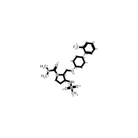 CN(C)C(=O)N1CCC(NS(C)(=O)=O)C1CO[C@H]1CC[C@@H](c2ccccc2C(F)(F)F)CC1